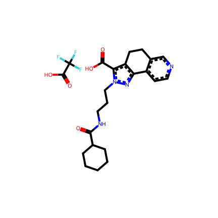 O=C(O)C(F)(F)F.O=C(O)c1c2c(nn1CCCNC(=O)C1CCCCC1)-c1ccncc1CC2